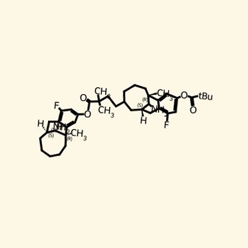 CC(C)(C)C(=O)Oc1cc(F)c2c(c1)[C@@]1(C)CCCC(CCC(C)(C)C(=O)Oc3cc(F)c4c(c3)[C@@]3(C)CCCCC[C@@H](C4)[C@@H]3N)C[C@@H](C2)C1N